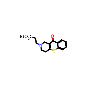 CCOC(=O)CCN1CCc2sc3ccccc3c(=O)c2C1